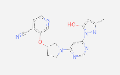 Cc1cc(O)n(-c2cc(N3CCC(Oc4cnccc4C#N)C3)ncn2)n1